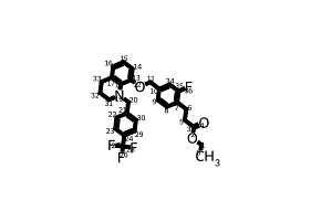 CCOC(=O)CCc1ccc(COc2cccc3c2N(Cc2ccc(C(F)(F)F)cc2)CCC3)cc1F